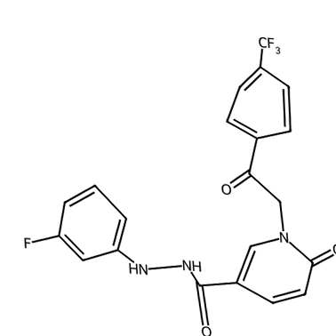 O=C(Cn1cc(C(=O)NNc2cccc(F)c2)ccc1=O)c1ccc(C(F)(F)F)cc1